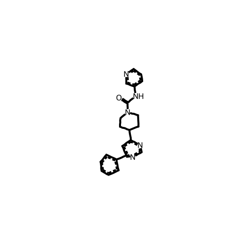 O=C(Nc1cccnc1)N1CCC(c2cc(-c3ccccc3)ncn2)CC1